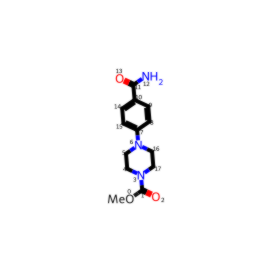 COC(=O)N1CCN(c2ccc(C(N)=O)cc2)CC1